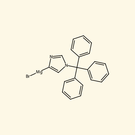 [Br][Mg][c]1cn(C(c2ccccc2)(c2ccccc2)c2ccccc2)cn1